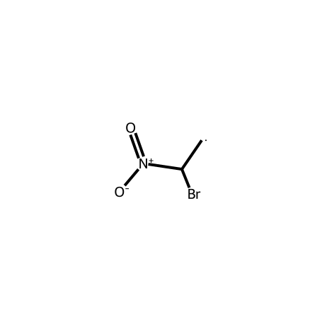 [CH2]C(Br)[N+](=O)[O-]